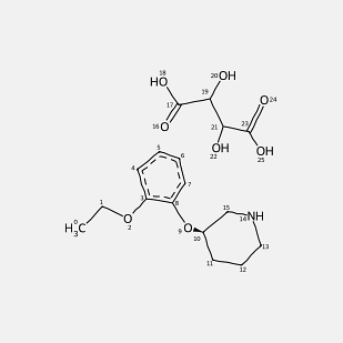 CCOc1ccccc1O[C@@H]1CCCNC1.O=C(O)C(O)C(O)C(=O)O